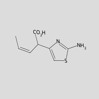 C/C=C\C(C(=O)O)c1csc(N)n1